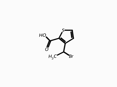 CC(Br)c1ccsc1C(=O)O